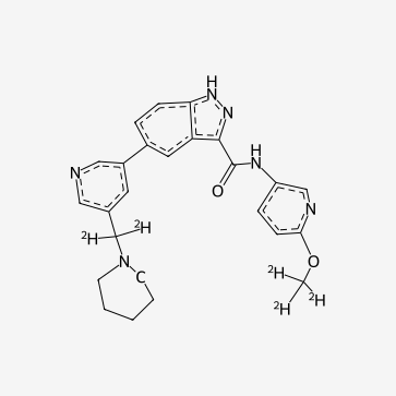 [2H]C([2H])([2H])Oc1ccc(NC(=O)c2n[nH]c3ccc(-c4cncc(C([2H])([2H])N5CCCCC5)c4)cc23)cn1